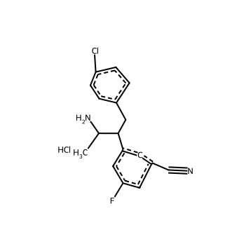 CC(N)C(Cc1ccc(Cl)cc1)c1cc(F)cc(C#N)c1.Cl